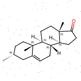 C[C@@H]1CC[C@@]2(C)C(=CC[C@@H]3[C@@H]2CC[C@]2(C)C(=O)CC[C@@H]32)C1